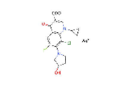 O=C([O-])c1cn(C2CC2)c2c(Cl)c(N3CCC(O)C3)c(F)cc2c1=O.[Ag+]